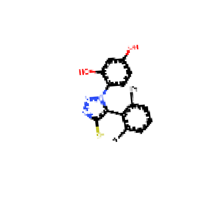 CC(C)c1cccc(C(C)C)c1-c1c(S)nnn1-c1ccc(O)cc1O